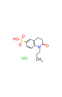 CCCN1C(=O)CCc2cc(S(=O)(=O)O)ccc21.Cl